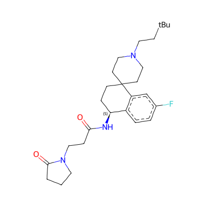 CC(C)(C)CCN1CCC2(CC[C@H](NC(=O)CCN3CCCC3=O)c3ccc(F)cc32)CC1